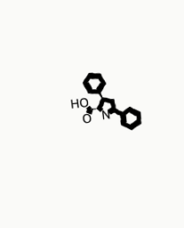 O=C(O)[C@H]1N=C(c2ccccc2)C[C@@H]1c1ccccc1